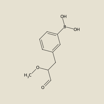 COC(C=O)Cc1cccc(B(O)O)c1